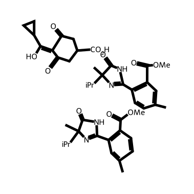 COC(=O)c1cc(C)ccc1C1=NC(C)(C(C)C)C(=O)N1.COC(=O)c1ccc(C)cc1C1=NC(C)(C(C)C)C(=O)N1.O=C1CC(C(=O)O)CC(=O)C1=C(O)C1CC1